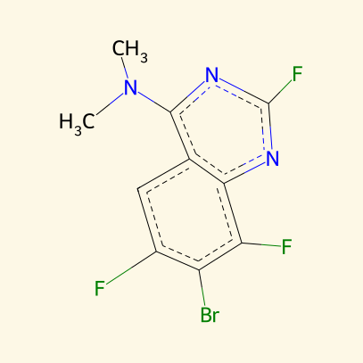 CN(C)c1nc(F)nc2c(F)c(Br)c(F)cc12